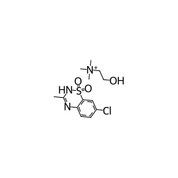 CC1=Nc2ccc(Cl)cc2S(=O)(=O)N1.C[N+](C)(C)CCO